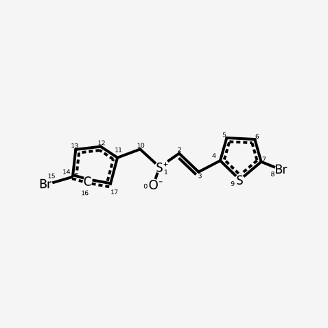 [O-][S+](C=Cc1ccc(Br)s1)Cc1ccc(Br)cc1